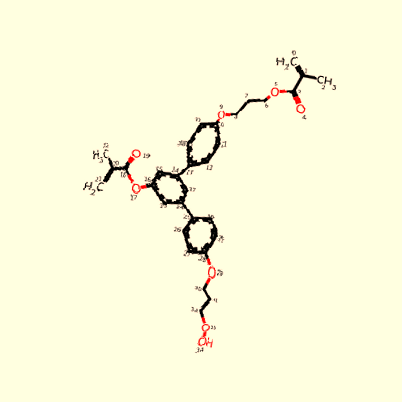 C=C(C)C(=O)OCCCOc1ccc(-c2cc(OC(=O)C(=C)C)cc(-c3ccc(OCCCOO)cc3)c2)cc1